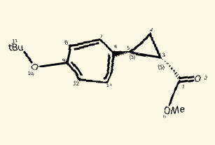 COC(=O)[C@H]1C[C@@H]1c1ccc(OC(C)(C)C)cc1